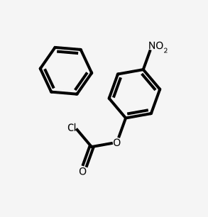 O=C(Cl)Oc1ccc([N+](=O)[O-])cc1.c1ccccc1